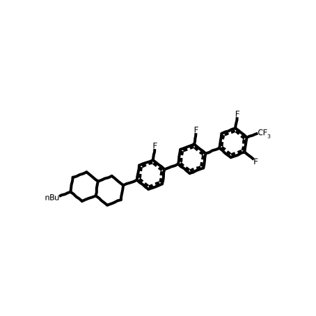 CCCCC1CCC2CC(c3ccc(-c4ccc(-c5cc(F)c(C(F)(F)F)c(F)c5)c(F)c4)c(F)c3)CCC2C1